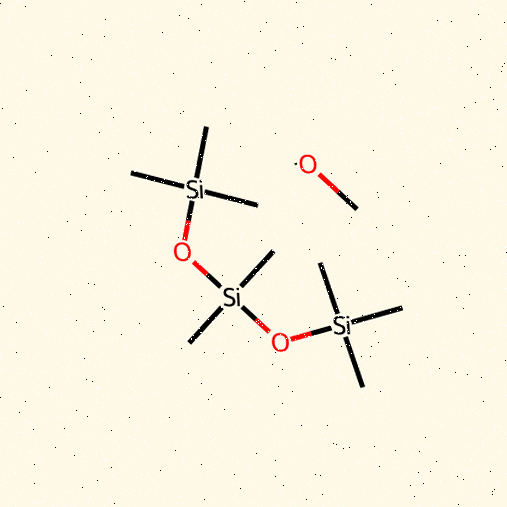 C[O].C[Si](C)(C)O[Si](C)(C)O[Si](C)(C)C